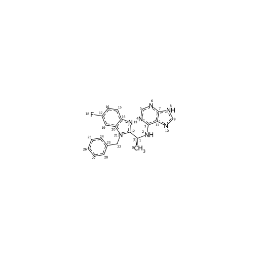 C[C@H](Nc1ncnc2[nH]cnc12)c1nc2ccc(F)cc2n1Cc1ccccc1